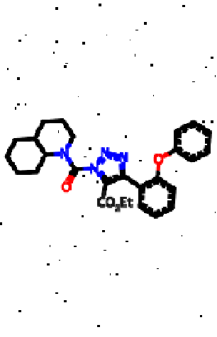 CCOC(=O)c1c(-c2ccccc2Oc2ccccc2)nnn1C(=O)N1CCCC2CCCCC21